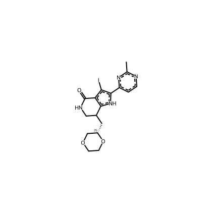 Cc1nccc(-c2[nH]c3c(c2I)C(=O)NCC3C[C@H]2COCCO2)n1